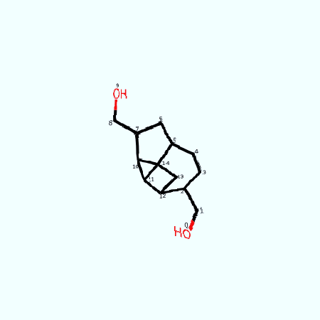 OCC1CCC2CC(CO)C3C4C1CC234